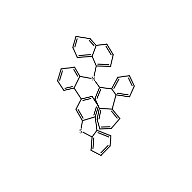 c1ccc(N(c2cccc3ccccc23)c2cc3ccccc3c3ccccc23)c(-c2ccc3c(c2)sc2ccccc23)c1